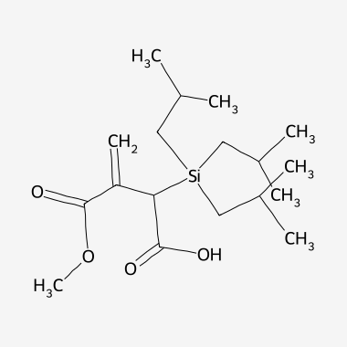 C=C(C(=O)OC)C(C(=O)O)[Si](CC(C)C)(CC(C)C)CC(C)C